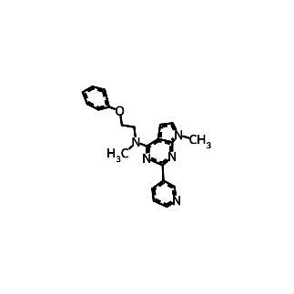 CN(CCOc1ccccc1)c1nc(-c2cccnc2)nc2c1ccn2C